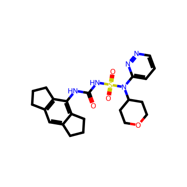 O=C(Nc1c2c(cc3c1CCC3)CCC2)NS(=O)(=O)N(c1cccnn1)C1CCOCC1